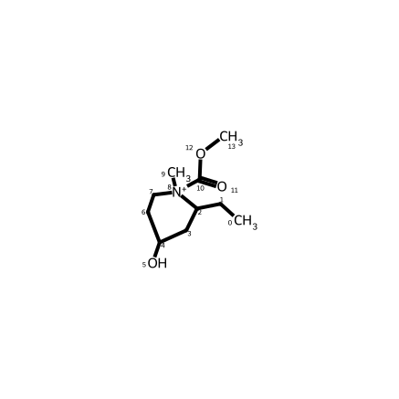 CCC1CC(O)CC[N+]1(C)C(=O)OC